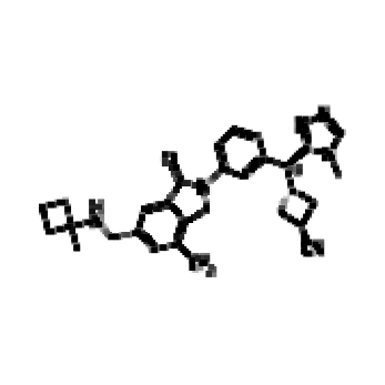 Cn1cnnc1[C@H](c1cccc(N2Cc3c(cc(CNC4(C)CCC4)cc3C(F)(F)F)C2=O)c1)[C@H]1C[C@H](C#N)C1